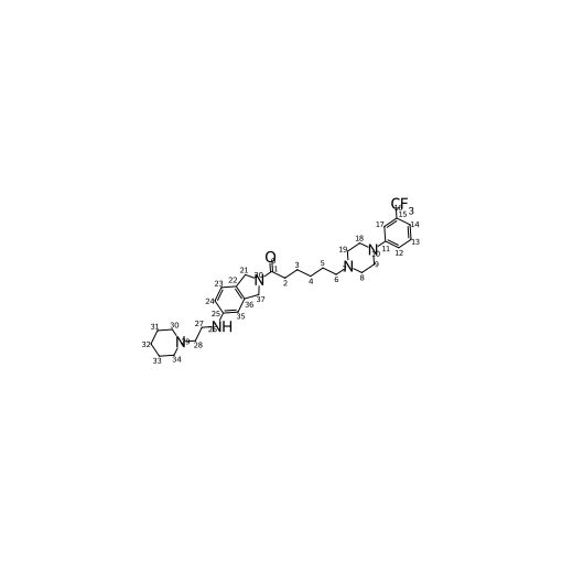 O=C(CCCCCN1CCN(c2cccc(C(F)(F)F)c2)CC1)N1Cc2ccc(NCCN3CCCCC3)cc2C1